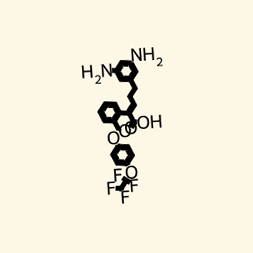 Nc1cc(N)cc(CC/C=C(/C(=O)O)c2ccccc2C(=O)Oc2ccc(OC(F)(F)C(F)F)cc2)c1